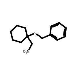 O=[N+]([O-])CC1(SCc2ccccc2)CCCCC1